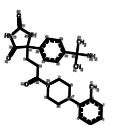 Cc1ccccc1N1CCN(C(=O)CCC2(c3ccc(C(C)(C)N)cc3)NC(=O)NC2=O)CC1